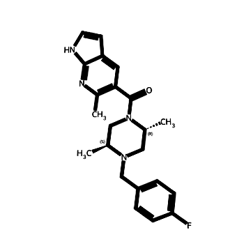 Cc1nc2[nH]ccc2cc1C(=O)N1C[C@H](C)N(Cc2ccc(F)cc2)C[C@H]1C